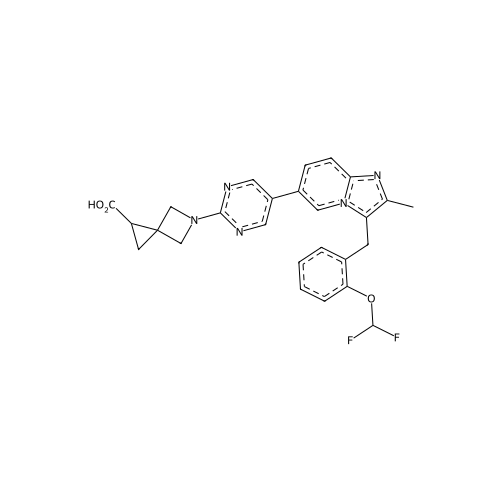 Cc1nc2ccc(-c3cnc(N4CC5(CC5C(=O)O)C4)nc3)cn2c1Cc1ccccc1OC(F)F